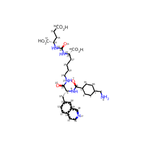 NCC1CCC(C(=O)N[C@H](Cc2ccc3ccncc3c2)C(=O)NCCCC[C@H](NC(=O)N[C@@H](CCC(=O)O)C(=O)O)C(=O)O)CC1